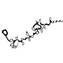 COC(=O)CCNC(=O)[C@@H]1OP(=O)(OCOC(=O)NCCOC(=O)[C@@H](NC(=O)OCc2ccccc2)C(C)C)OCC1(C)C